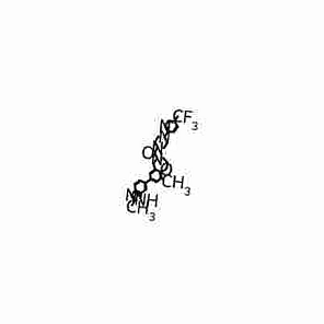 Cc1nc2ccc(-c3cc(C)c4c(c3)CN(C(=O)N3CCN(c5ccc(C(F)(F)F)cn5)CC3)CCO4)cc2[nH]1